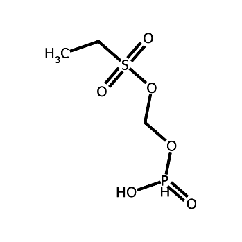 CCS(=O)(=O)OCO[PH](=O)O